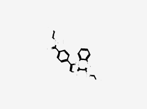 CC(C)CNc1nc2ccccc2n2c(-c3ccc(C(=O)NCCO)cc3)cnc12